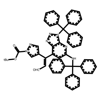 CC(C)(C)OC(=O)n1cc(C(=CC=O)c2cc(NC(c3ccccc3)(c3ccccc3)c3ccccc3)nc3c2nnn3C(c2ccccc2)(c2ccccc2)c2ccccc2)cn1